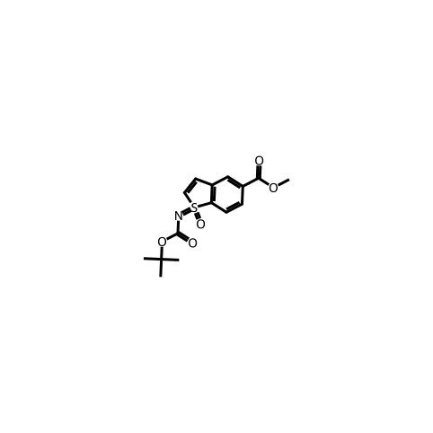 COC(=O)c1ccc2c(c1)C=CS2(=O)=NC(=O)OC(C)(C)C